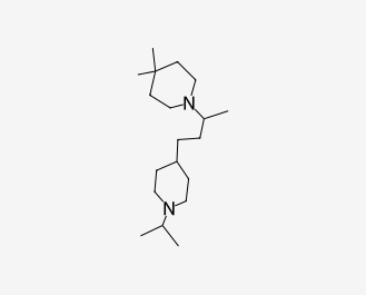 CC(C)N1CCC(CCC(C)N2CCC(C)(C)CC2)CC1